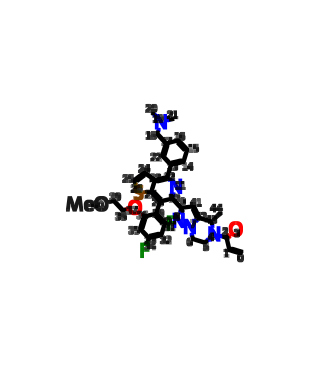 C=CC(=O)N1CCn2nc(-c3nc(-c4cccc(CN(C)C)c4)c4ccsc4c3-c3c(F)cc(F)cc3OCCOC)cc2[C@H]1C